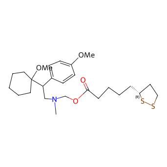 COc1ccc(C(CN(C)COC(=O)CCCC[C@@H]2CCSS2)C2(OC)CCCCC2)cc1